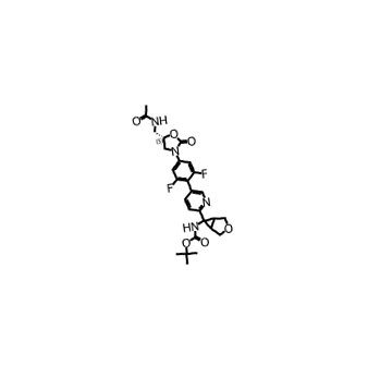 CC(=O)NC[C@H]1CN(c2cc(F)c(-c3ccc(C4(NC(=O)OC(C)(C)C)C5COCC54)nc3)c(F)c2)C(=O)O1